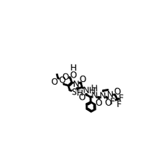 CC(=O)OCC1=C(C(=O)O)N2C(=O)C(NC(=O)C(NC(=O)N3CCN(C(=O)C(F)(F)F)C3=O)c3ccccc3)[C@@H]2SC1